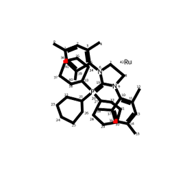 Cc1cc(C)c(N2CCN(c3c(C)cc(C)cc3C)C2=P(C2CCCCC2)(C2CCCCC2)C2CCCCC2)c(C)c1.[Ru]